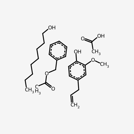 C=CCc1ccc(O)c(OC)c1.CC(=O)O.CC(=O)OCc1ccccc1.CCCCCCCCO